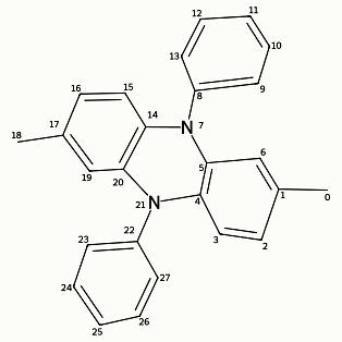 Cc1ccc2c(c1)N(c1ccccc1)c1ccc(C)cc1N2c1ccccc1